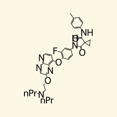 CCCN(CCC)CCOc1cnc2nccc(Oc3ccc(NC(=O)C4(C(=O)Nc5ccc(C)cc5)CC4)cc3F)c2n1